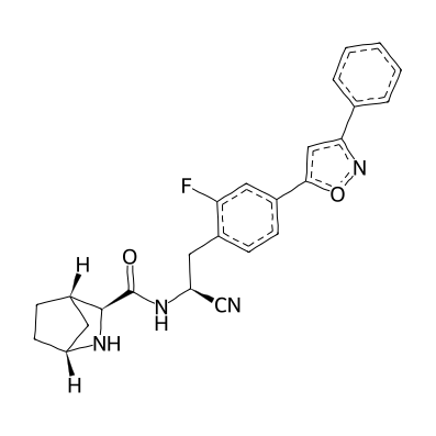 N#C[C@H](Cc1ccc(-c2cc(-c3ccccc3)no2)cc1F)NC(=O)[C@H]1N[C@@H]2CC[C@H]1C2